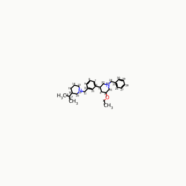 CCOC1CC(c2cccc(CN3CCCC(C(C)C)C3)c2)CN(Cc2ccccc2)C1